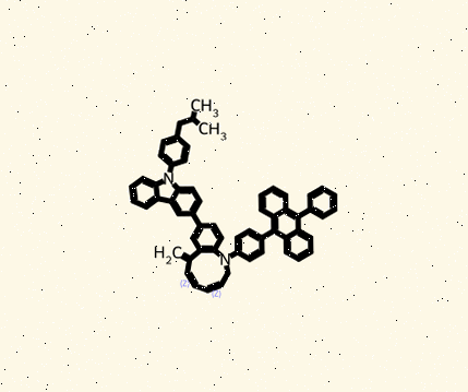 C=C1/C=C\C=C/CN(c2ccc(-c3c4ccccc4c(-c4ccccc4)c4ccccc34)cc2)c2ccc(-c3ccc4c(c3)c3ccccc3n4-c3ccc(CC(C)C)cc3)cc21